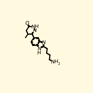 CC1CC(=O)NN=C1c1ccc2[nH]c(CCCCN)nc2c1